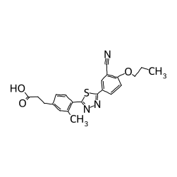 CCCOc1ccc(-c2nnc(-c3ccc(CCC(=O)O)cc3C)s2)cc1C#N